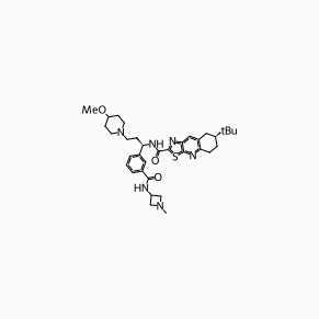 COC1CCN(CC[C@@H](NC(=O)c2nc3cc4c(nc3s2)CC[C@H](C(C)(C)C)C4)c2cccc(C(=O)NC3CN(C)C3)c2)CC1